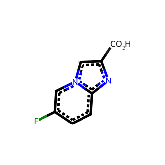 O=C(O)c1[c]n2cc(F)ccc2n1